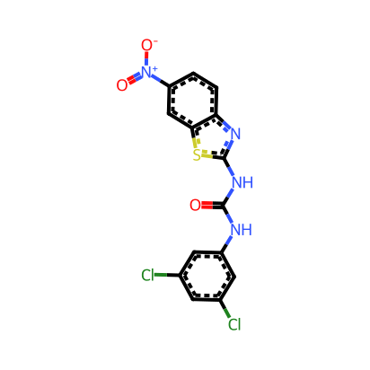 O=C(Nc1cc(Cl)cc(Cl)c1)Nc1nc2ccc([N+](=O)[O-])cc2s1